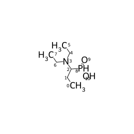 CCC(N(CC)CC)[PH](=O)O